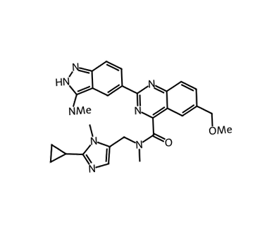 CNc1[nH]nc2ccc(-c3nc(C(=O)N(C)Cc4cnc(C5CC5)n4C)c4cc(COC)ccc4n3)cc12